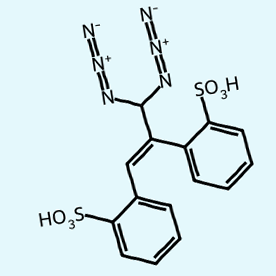 [N-]=[N+]=NC(N=[N+]=[N-])C(=Cc1ccccc1S(=O)(=O)O)c1ccccc1S(=O)(=O)O